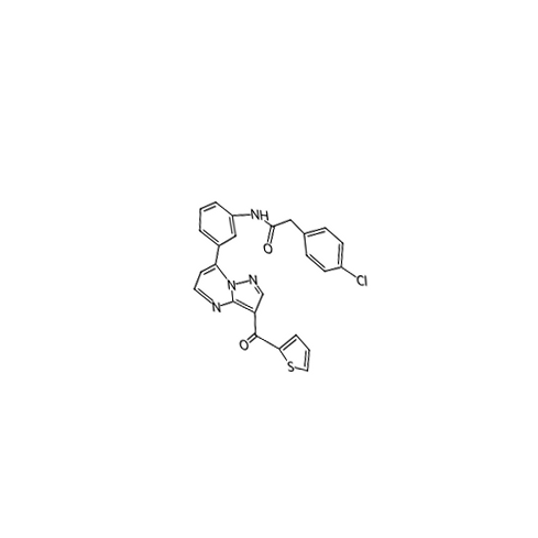 O=C(Cc1ccc(Cl)cc1)Nc1cccc(-c2ccnc3c(C(=O)c4cccs4)cnn23)c1